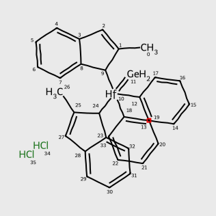 CC1=Cc2ccccc2[CH]1[Hf](=[GeH2])([c]1ccccc1)([c]1ccccc1)[CH]1C(C)=Cc2ccccc21.Cl.Cl